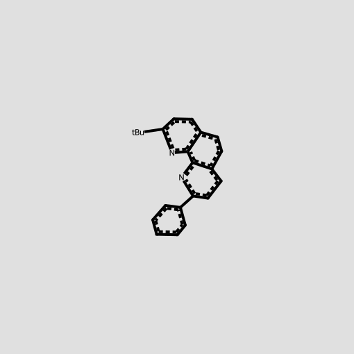 CC(C)(C)c1ccc2ccc3ccc(-c4ccccc4)nc3c2n1